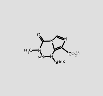 CCCCCCN1NN(C)C(=O)n2cnc(C(=O)O)c21